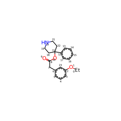 CCOc1cccc(CC(=O)OC2(c3ccccc3)CCNCC2)c1